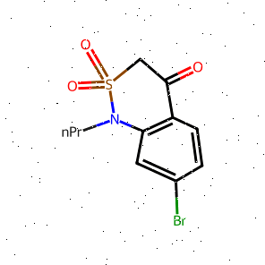 CCCN1c2cc(Br)ccc2C(=O)CS1(=O)=O